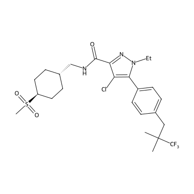 CCn1nc(C(=O)NC[C@H]2CC[C@H](S(C)(=O)=O)CC2)c(Cl)c1-c1ccc(CC(C)(C)C(F)(F)F)cc1